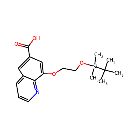 CC(C)(C)[Si](C)(C)OCCOc1cc(C(=O)O)cc2cccnc12